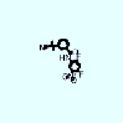 CC(C)(C#N)c1cccc(C(=O)NC2=CC([N+](=O)[O-])C(F)C=C2F)c1